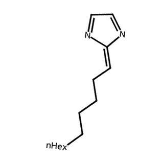 CCCCCCCCCCC=C1N=CC=N1